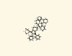 c1ccc(-c2ccccc2-c2c3ccccc3c(-c3ccc4c(c3)nc(-c3ccccc3-c3ccccc3)n4-c3ccccc3)c3ccccc23)cc1